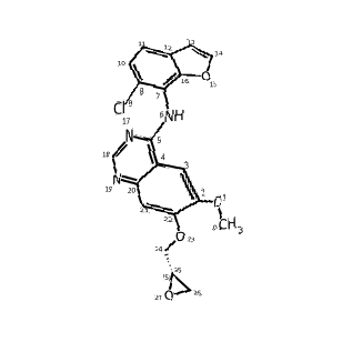 COc1cc2c(Nc3c(Cl)ccc4ccoc34)ncnc2cc1OC[C@@H]1CO1